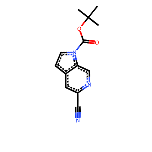 CC(C)(C)OC(=O)n1ccc2cc(C#N)ncc21